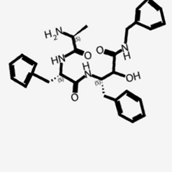 C[C@H](N)C(=O)N[C@@H](Cc1ccccc1)C(=O)N[C@@H](Cc1ccccc1)C(O)C(=O)NCc1ccccc1